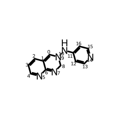 C1=c2cccnc2=NCN1Nc1ccncc1